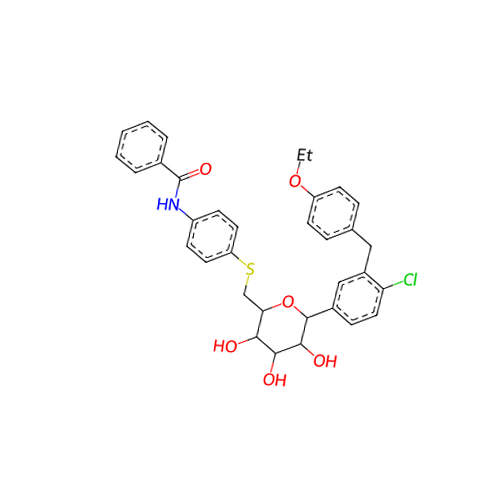 CCOc1ccc(Cc2cc(C3OC(CSc4ccc(NC(=O)c5ccccc5)cc4)C(O)C(O)C3O)ccc2Cl)cc1